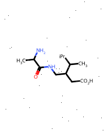 CC(N)C(=O)NCC(CC(=O)O)C(C)C(C)C